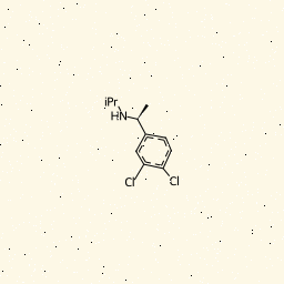 CC(C)N[C@@H](C)c1ccc(Cl)c(Cl)c1